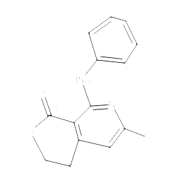 Cc1cc2c(c(Nc3ccccc3)n1)C(=O)OCC2